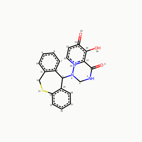 O=C1NCN(C2c3ccccc3CSc3ccccc32)n2ccc(=O)c(O)c21